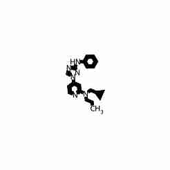 CCCN(CC1CC1)c1cc(-n2cnc(Nc3ccccc3)n2)ccn1